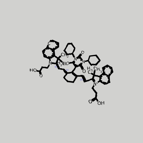 CC1(C)C(/C=C/C2=C(c3c(O)n(C4CCCCC4)c(=O)n(C4CCCCC4)c3=O)C(=C/C=C3/N(CCC(=O)O)c4ccc5ccccc5c4C3(C)C)/CCC2)=[N+](CCC(=O)O)c2ccc3ccccc3c21